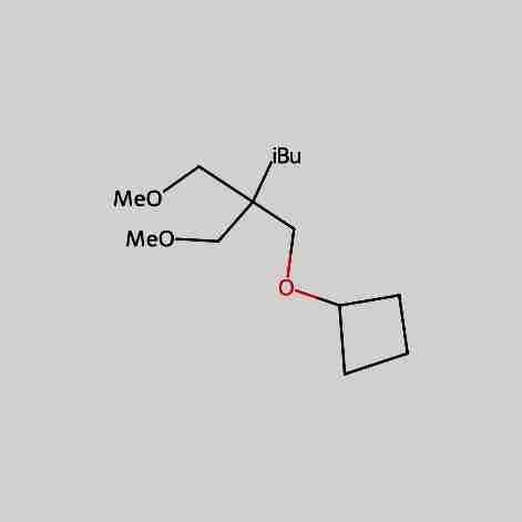 CCC(C)C(COC)(COC)COC1CCC1